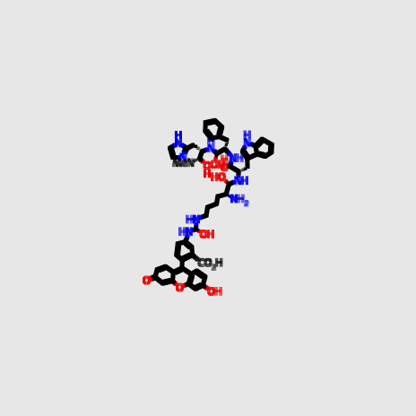 CN[C@@H](O)[C@H](Cc1ncc[nH]1)N[C@H](O)[C@H](Cc1ccccc1)N[C@@H](O)[C@H](Cc1c[nH]c2ccccc12)N[C@H](O)[C@H](N)CCCCN[C@@H](O)Nc1ccc(-c2c3ccc(=O)cc-3oc3cc(O)ccc23)c(C(=O)O)c1